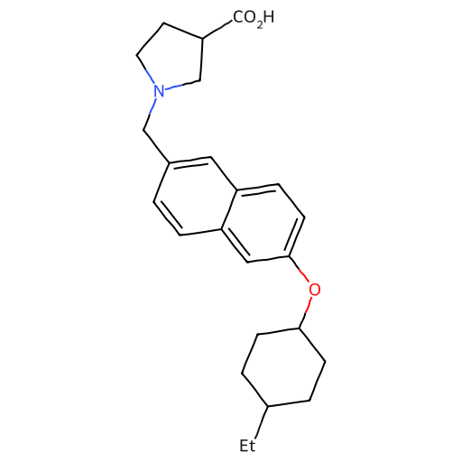 CCC1CCC(Oc2ccc3cc(CN4CCC(C(=O)O)C4)ccc3c2)CC1